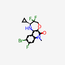 Cn1c(=O)c2c(c3cc(Br)c(F)cc31)N[C@@H](C1CC1)C(F)(F)CO2